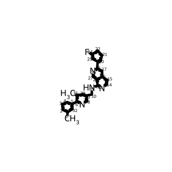 Cc1cccc(-c2ncc(CNc3nccc4cc(-c5cccc(F)c5)ncc34)cc2C)c1